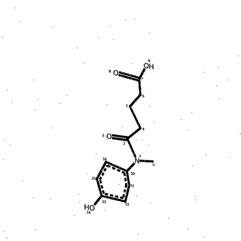 CN(C(=O)CCCC(=O)O)c1ccc(O)cc1